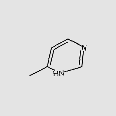 CC1=C=CN=CN1